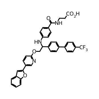 O=C(O)CCNC(=O)c1ccc(NC(COc2ccc(-c3cc4ccccc4o3)cn2)c2ccc(-c3ccc(C(F)(F)F)cc3)cc2)cc1